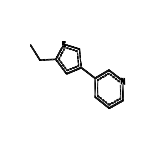 CCc1cc(-c2cccnc2)cs1